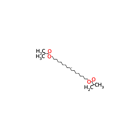 C=C(C)C(=O)OCCCCCCCC[CH]CCCCCCCCOC(=O)C(=C)C